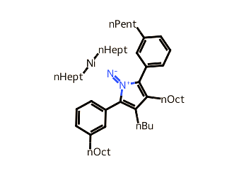 CCCCCCCCC1=C(c2cccc(CCCCC)c2)[N+](=[N-])C(c2cccc(CCCCCCCC)c2)=C1CCCC.CCCCCC[CH2][Ni][CH2]CCCCCC